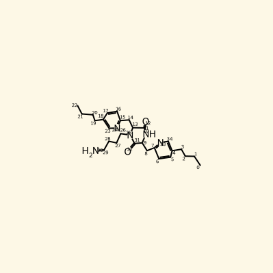 CCCCc1ccc(CC2NC(=O)C(Cc3ccc(CCCC)cn3)N(CCCCN)C2=O)nc1